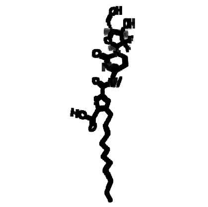 CCCCCCCCCCCc1cc(C(=O)Nc2ccn([C@@H]3O[C@H](CO)[C@@H](O)C3(F)F)c(=O)n2)sc1C(=O)O